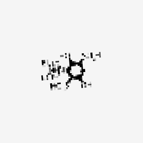 CCNCC.CCNCC.O=S(=O)(O)c1cc(O)c(S(=O)(=O)O)cc1O